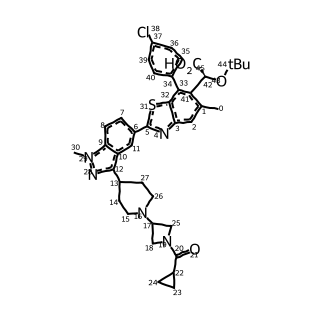 Cc1cc2nc(-c3ccc4c(c3)c(C3CCN(C5CN(C(=O)C6CC6)C5)CC3)nn4C)sc2c(-c2ccc(Cl)cc2)c1[C@H](OC(C)(C)C)C(=O)O